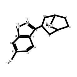 CN1C2CCC1CC(c1noc3cc(F)ccc13)C2